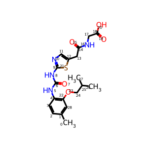 Cc1ccc(NC(=O)Nc2ncc(CC(=O)NCC(=O)O)s2)c(OCC(C)C)c1